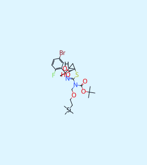 CC(C)(C)OC(=O)N(COCC[Si](C)(C)C)C1=N[C@](C)(c2cc(Br)ccc2F)[C@@H]2C[C@]2(C(=O)O)S1